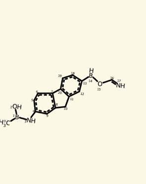 CB(O)Nc1ccc2c(c1)Cc1cc(BOC=N)ccc1-2